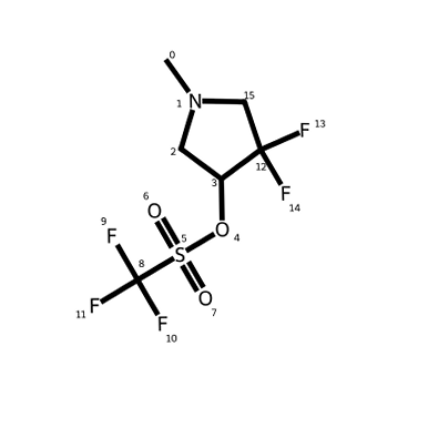 CN1CC(OS(=O)(=O)C(F)(F)F)C(F)(F)C1